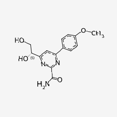 COc1ccc(-c2cc([C@H](O)CO)nc(C(N)=O)n2)cc1